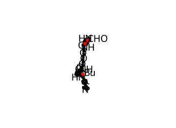 Cc1ncsc1-c1ccc(CNC(=O)[C@@H]2CCCN2C(=O)C(NC(=O)COCCOCCOCCNC(=O)C23CCC(NC=O)(CC2)CC3)C(C)(C)C)cc1